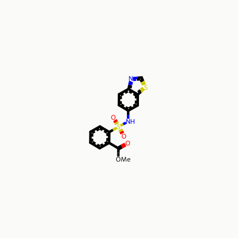 COC(=O)c1ccccc1S(=O)(=O)Nc1ccc2ncsc2c1